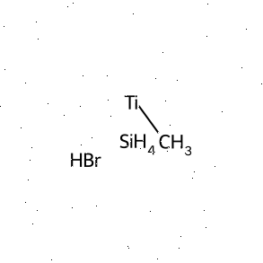 Br.[CH3][Ti].[SiH4]